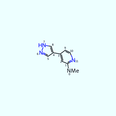 CNc1cc(-c2cn[nH]c2)ccn1